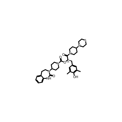 Cc1cc(C[C@@H](OC(=O)N2CCC(N3CCc4ccccc4NC3=O)CC2)C(=O)N2CCC(N3CCSCC3)CC2)cc(C)c1O